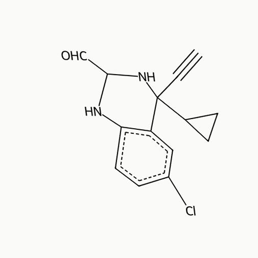 C#CC1(C2CC2)NC(C=O)Nc2ccc(Cl)cc21